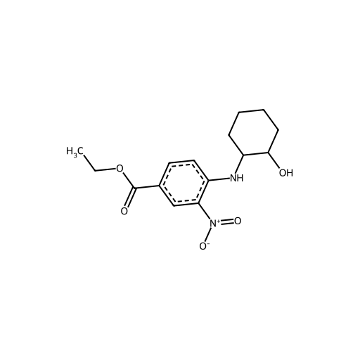 CCOC(=O)c1ccc(NC2CCCCC2O)c([N+](=O)[O-])c1